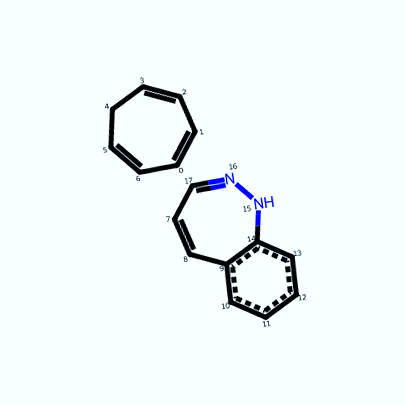 C1=CC=CCC=C1.C1=Cc2ccccc2NN=C1